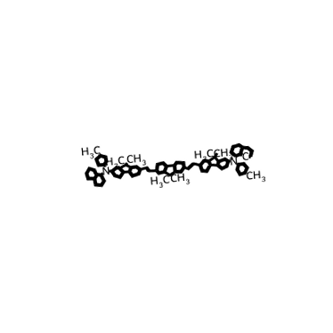 Cc1ccc(N(c2ccc3c(c2)C(C)(C)c2cc(/C=C/c4ccc5c(c4)C(C)(C)c4cc(/C=C/c6ccc7c(c6)C(C)(C)c6cc(N(c8ccc(C)cc8)c8cccc9ccccc89)ccc6-7)ccc4-5)ccc2-3)c2cccc3ccccc23)cc1